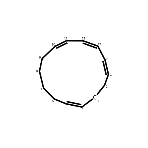 [C]1=CCCC=CCCCCC=CC=C1